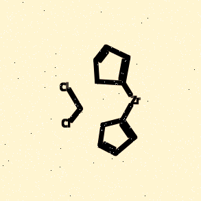 C1=CC[C]([Zr][C]2=CC=CC2)=C1.ClCCl